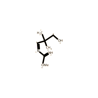 COC(=N)/N=C\C(C)(C)CO